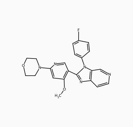 COc1cc(N2CCOCC2)ncc1-c1nc2ccncc2n1-c1ccc(F)cc1